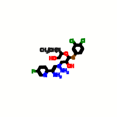 CN(O)C(CO)OC(Sc1ccc(Cl)c(Cl)c1)C(O)CN(N)/C=C(\N)c1ccc(F)cn1